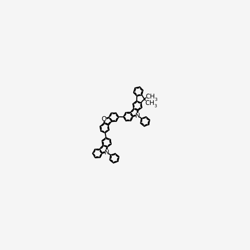 CC1(C)c2ccccc2-c2cc3c4cc(-c5ccc6oc7ccc(-c8ccc9c(c8)c8ccccc8n9-c8ccccc8)cc7c6c5)ccc4n(-c4ccccc4)c3cc21